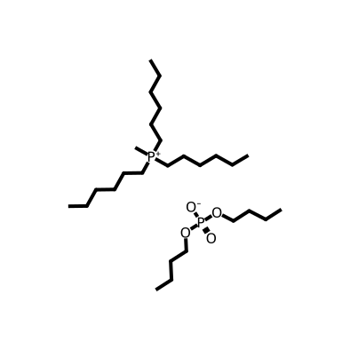 CCCCCC[P+](C)(CCCCCC)CCCCCC.CCCCOP(=O)([O-])OCCCC